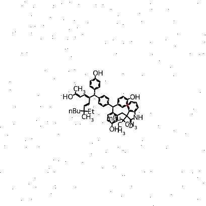 CCCCC(C)(/C=C/C(=C\C=C(/C)O)C(c1ccc(O)cc1)c1ccc(C(c2ccc(O)cc2)c2ccc(O)cc2CC2(C(C)(C)CCCC)C(=O)Nc3ccccc32)cc1)CC